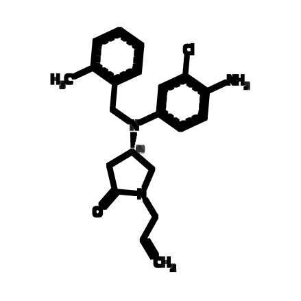 C=CCN1C[C@@H](N(Cc2ccccc2C)c2ccc(N)c(Cl)c2)CC1=O